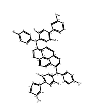 [C-]#[N+]c1ccc(N(c2cc(F)c(-c3cccc(C(C)(C)C)c3)cc2F)c2ccc3ccc4c(N(c5ccc(C#N)cc5)c5cc(F)c(-c6cccc(C(C)(C)C)c6)cc5F)ccc5ccc2c3c54)cc1